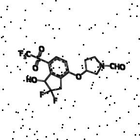 O=CN1CCC(Oc2ccc(S(=O)(=O)C(F)(F)F)c3c2CC(F)(F)C3O)C1